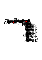 CC(N)c1ccccc1Cl.NCCCc1ccc(Br)cc1.NCCOc1cccc(Br)c1.NCCOc1cccc(F)c1.NCCOc1cccc(I)c1.NCCOc1ccccc1Cl.NCCOc1ccccc1F.NCCSc1cc(Cl)cc(Cl)c1.NCCSc1ccc(Cl)c(Cl)c1.NCCSc1ccccc1